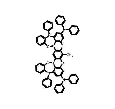 Cc1c2c(cc3c1Oc1cc(N(c4ccccc4)c4ccccc4)cc4c1B3Oc1ccccc1N4c1ccccc1)B1Oc3ccccc3N(c3ccccc3)c3cc(N(c4ccccc4)c4ccccc4)cc(c31)O2